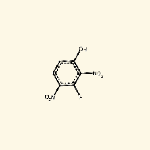 O=[N+]([O-])c1ccc(O)c([N+](=O)[O-])c1F